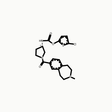 CN1CCc2ccc(C(=O)N3CC[C@H](NC(=O)Oc4ccc(Cl)s4)C3)cc2CC1